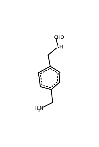 NCc1ccc(CNC=O)cc1